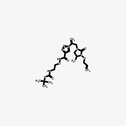 C=CCON1C(=O)N(CC(=C)n2cc(C(=O)NOCCNC(=O)OC(C)(C)C)nn2)CC1C